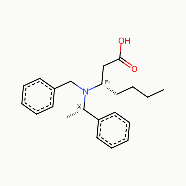 CCCC[C@@H](CC(=O)O)N(Cc1ccccc1)[C@@H](C)c1ccccc1